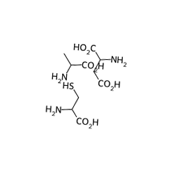 CC(N)C(=O)O.NC(CC(=O)O)C(=O)O.NC(CS)C(=O)O